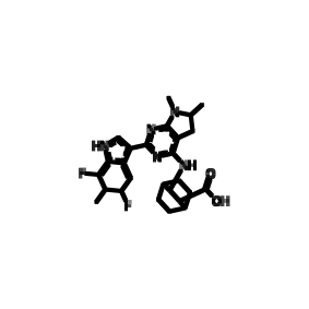 CC1C(F)=c2[nH]cc(-c3nc(NC4C5CCC(CC5)C4C(=O)O)c4c(n3)N(C)C(C)C4)c2=CC1F